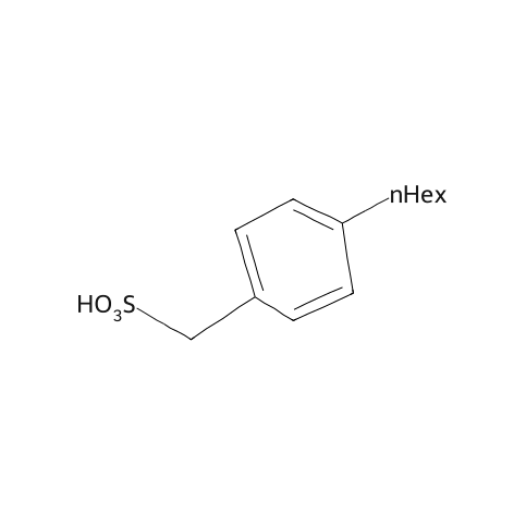 CCCCCCc1ccc(CS(=O)(=O)O)cc1